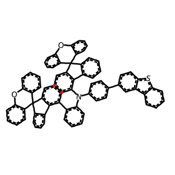 c1ccc2c(c1)Oc1ccccc1C21c2ccccc2-c2c(-c3ccccc3N(c3ccc(-c4ccc5sc6ccccc6c5c4)cc3)c3cccc4c3-c3ccccc3C43c4ccccc4Oc4ccccc43)cccc21